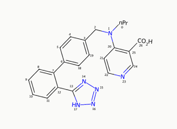 CCCN(Cc1ccc(-c2ccccc2-c2nnn[nH]2)cc1)c1ccncc1C(=O)O